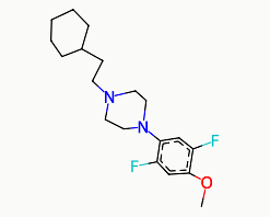 COc1cc(F)c(N2CCN(CCC3CCCCC3)CC2)cc1F